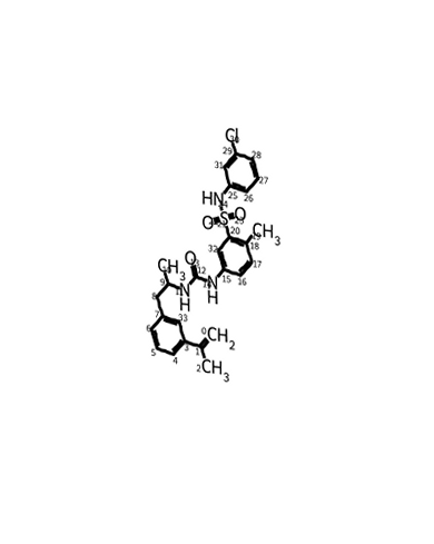 C=C(C)c1cccc(CC(C)NC(=O)Nc2ccc(C)c(S(=O)(=O)Nc3cccc(Cl)c3)c2)c1